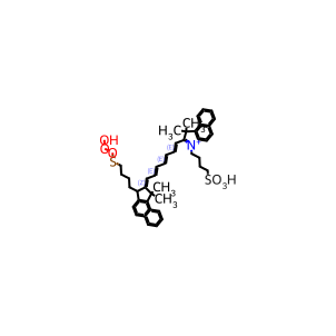 CC1(C)C(/C=C/C=C/C=C/C=C2/C(CCCCSOOO)c3ccc4ccccc4c3C2(C)C)=[N+](CCCCS(=O)(=O)O)c2ccc3ccccc3c21